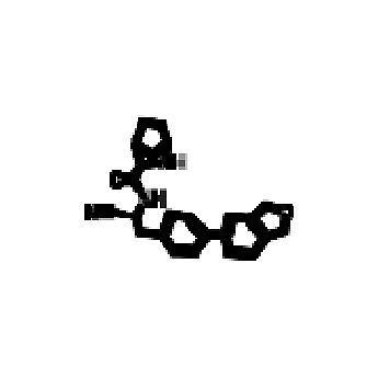 N#C[C@H](Cc1ccc(-c2ccc3c(c2)COC3)cc1)NC(=O)C1NC2CCC1C2